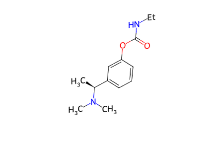 CCNC(=O)Oc1cccc([C@H](C)N(C)C)c1